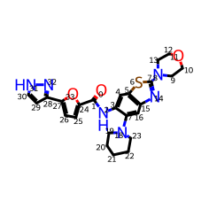 O=C(Nc1cc2sc(N3CCOCC3)nc2cc1N1CCCCC1)c1ccc(-c2cc[nH]n2)o1